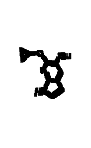 CC(C)(C)c1cc2cc[nH]c2nc1OC1CC1